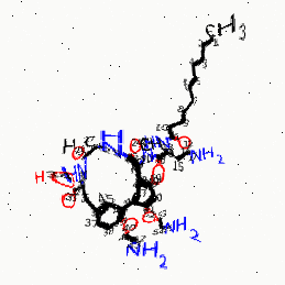 CCCCCCCCCCCC(=O)N[C@@H](CCN)C(=O)N(C)[C@@H]1C(=O)N[C@@H](C)C(=O)N[C@H](C(=O)O)Cc2ccc(OCCN)c(c2)-c2cc1ccc2OCCN